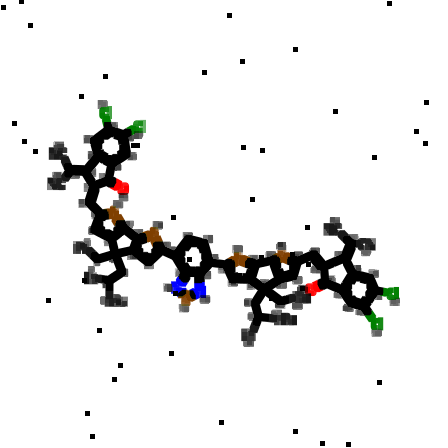 CCCCC(CC)CC1(CC(C)C)c2cc(/C=C3\C(=O)c4cc(Cl)c(Cl)cc4C3=C(C#N)C#N)sc2-c2sc(-c3ccc(-c4cc5c(s4)-c4sc(/C=C6\C(=O)c7cc(Cl)c(Cl)cc7C6=C(C#N)C#N)cc4C5(CC(C)CC)CC(CC)CCCC)c4nsnc34)cc21